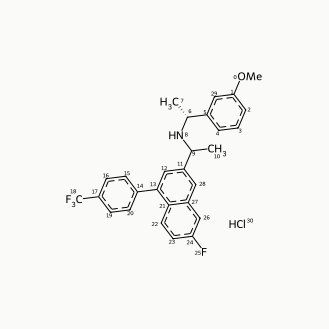 COc1cccc([C@@H](C)NC(C)c2cc(-c3ccc(C(F)(F)F)cc3)c3ccc(F)cc3c2)c1.Cl